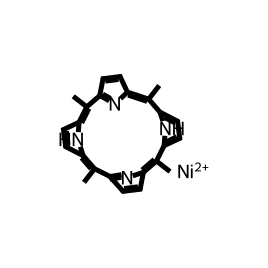 Cc1c2nc(c(C)c3ccc([nH]3)c(C)c3nc(c(C)c4ccc1[nH]4)C=C3)C=C2.[Ni+2]